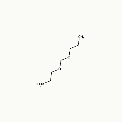 CCCOCOCCN